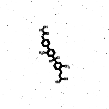 CCC(CC)(c1ccc(CCC(O)C(C)(C)C)c(C)c1)c1ccc(-c2ccc(CC(=O)NO)cc2)c(C)c1